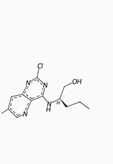 CCC[C@H](CO)Nc1nc(Cl)nc2cc(Cl)cnc12